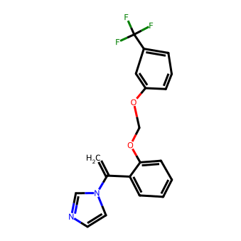 C=C(c1ccccc1OCOc1cccc(C(F)(F)F)c1)n1ccnc1